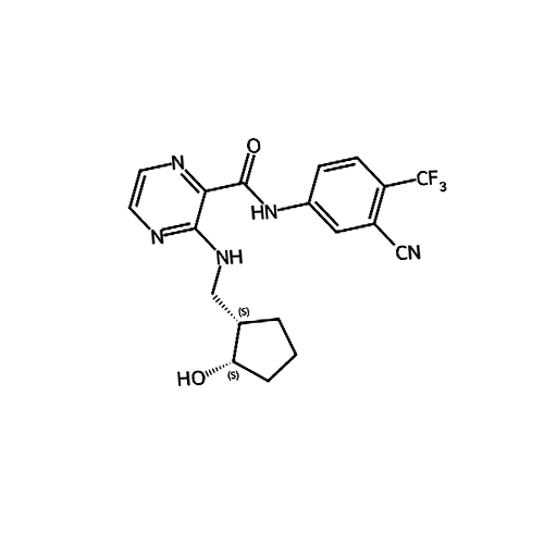 N#Cc1cc(NC(=O)c2nccnc2NC[C@@H]2CCC[C@@H]2O)ccc1C(F)(F)F